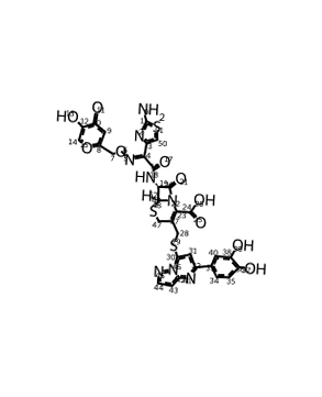 Nc1nc(C(=NOCc2cc(=O)c(O)co2)C(=O)N[C@@H]2C(=O)N3C(C(=O)O)=C(CSc4cc(-c5ccc(O)c(O)c5)nc5ccnn45)CS[C@H]23)cs1